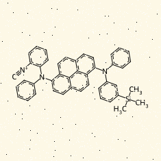 [C-]#[N+]c1ccccc1N(c1ccccc1)c1ccc2ccc3c(N(c4ccccc4)c4cccc([Si](C)(C)C)c4)ccc4ccc1c2c43